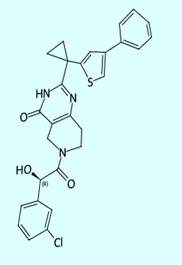 O=C([C@H](O)c1cccc(Cl)c1)N1CCc2nc(C3(c4cc(-c5ccccc5)cs4)CC3)[nH]c(=O)c2C1